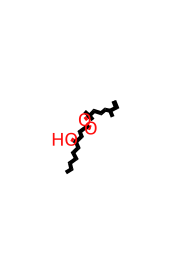 C=CC(C)CCCC(C)(C)OC(=O)CCC(O)CCCCCC